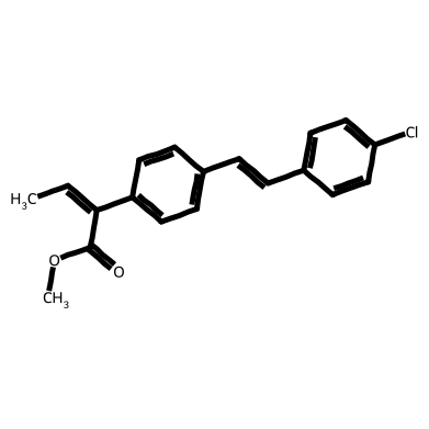 CC=C(C(=O)OC)c1ccc(C=Cc2ccc(Cl)cc2)cc1